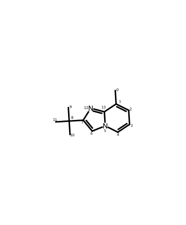 Cc1cccn2[c]c(C(C)(C)C)nc12